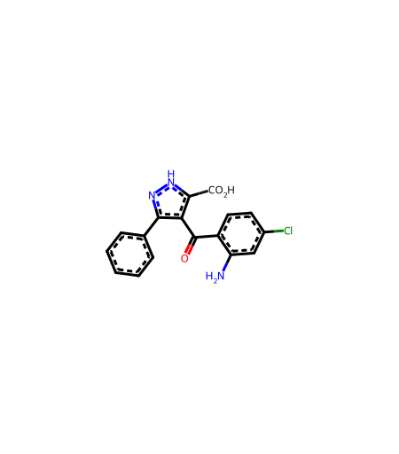 Nc1cc(Cl)ccc1C(=O)c1c(-c2ccccc2)n[nH]c1C(=O)O